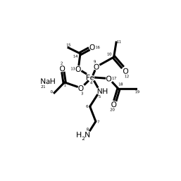 CC(=O)[O][Fe]([NH]CCN)([O]C(C)=O)([O]C(C)=O)[O]C(C)=O.[NaH]